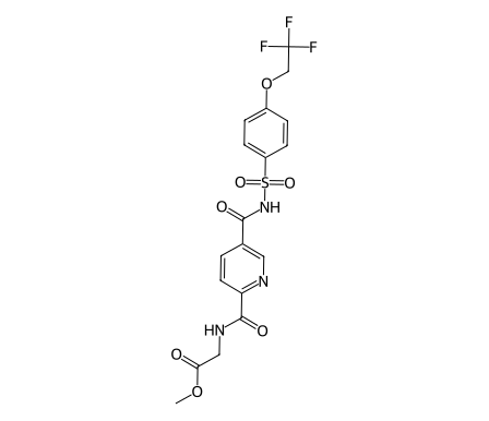 COC(=O)CNC(=O)c1ccc(C(=O)NS(=O)(=O)c2ccc(OCC(F)(F)F)cc2)cn1